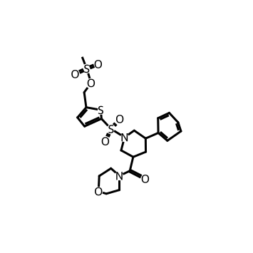 CS(=O)(=O)OCc1ccc(S(=O)(=O)N2CC(C(=O)N3CCOCC3)CC(c3ccccc3)C2)s1